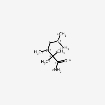 CN(N)CN(C)C(C)(C)C(N)=O